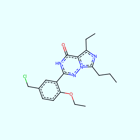 CCCc1nc(CC)c2c(=O)[nH]c(-c3cc(CCl)ccc3OCC)nn12